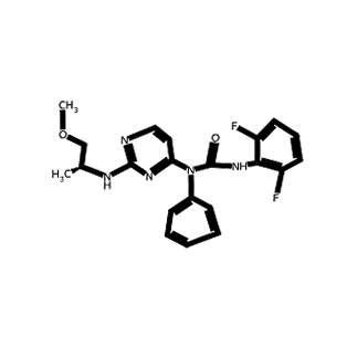 COC[C@H](C)Nc1nccc(N(C(=O)Nc2c(F)cccc2F)c2ccccc2)n1